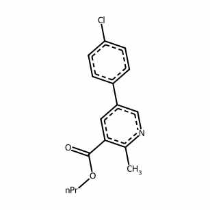 CCCOC(=O)c1cc(-c2ccc(Cl)cc2)cnc1C